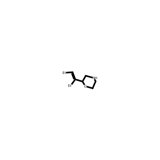 CC/C=C(\CC)C1CNCCO1